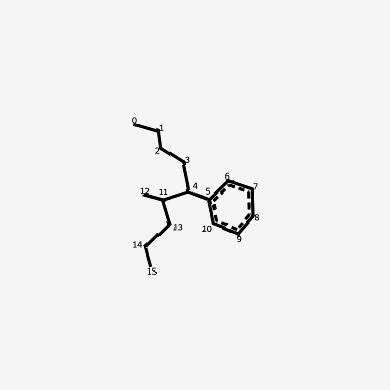 CCCCC(c1[c]cccc1)C(C)CCC